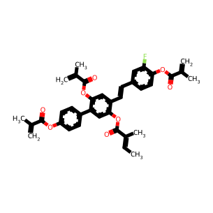 C=C(C)C(=O)Oc1ccc(-c2cc(OC(=O)/C(C)=C/C)c(/C=C/c3ccc(OC(=O)C(=C)C)c(F)c3)cc2OC(=O)C(=C)C)cc1